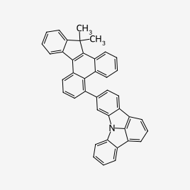 CC1(C)c2ccccc2-c2c1c1ccccc1c1c(-c3ccc4c5cccc6c7ccccc7n(c4c3)c65)cccc21